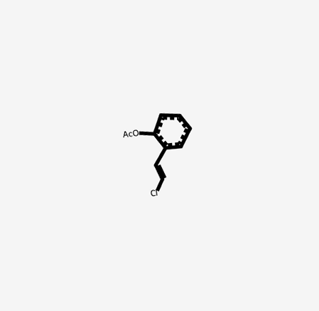 CC(=O)Oc1ccccc1C=CCl